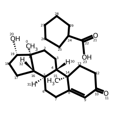 C[C@]12CC[C@H]3[C@@H](CCC4=CC(=O)CC[C@@]43C)[C@@H]1CC[C@@H]2O.O=C(O)C1CCCCC1